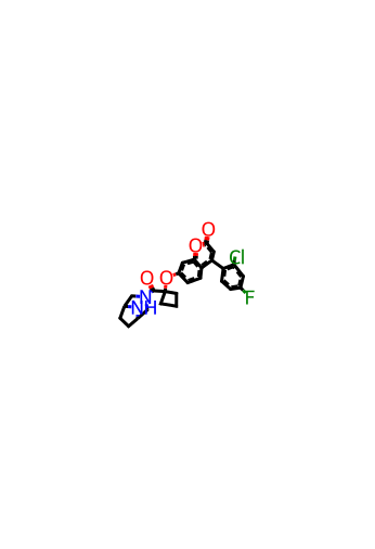 O=C(N1CC2CCC(C1)N2)C1(Oc2ccc3c(-c4ccc(F)cc4Cl)cc(=O)oc3c2)CCC1